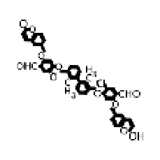 Cc1c(COc2cc(OCc3ccc4c(c3)C=CC(O)O4)c(C=O)cc2Cl)cccc1-c1cccc(COc2cc(OCc3ccc4oc(=O)ccc4c3)c(C=O)cc2Cl)c1C